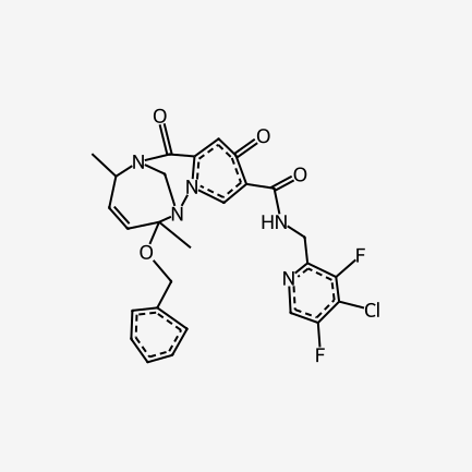 CC1C=CC(C)(OCc2ccccc2)N2CN1C(=O)c1cc(=O)c(C(=O)NCc3ncc(F)c(Cl)c3F)cn12